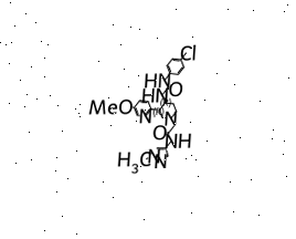 COc1ccc([C@@H]2CN(CC(=O)Nc3cnn(C)c3)CC[C@H]2NC(=O)Nc2ccc(Cl)cc2)nc1